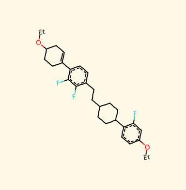 CCOc1ccc(C2CCC(CCc3ccc(C4=CCC(OCC)CC4)c(F)c3F)CC2)c(F)c1